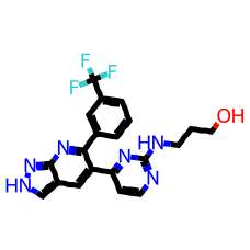 OCCCNc1nccc(-c2cc3c[nH]nc3nc2-c2cccc(C(F)(F)F)c2)n1